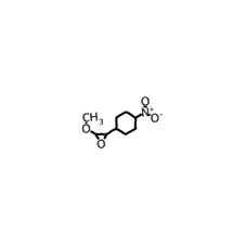 COC1OC1C1CCC([N+](=O)[O-])CC1